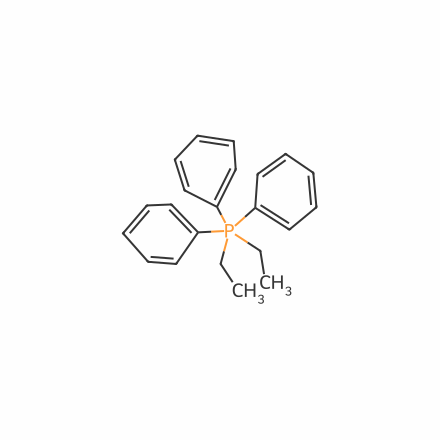 CCP(CC)(c1ccccc1)(c1ccccc1)c1ccccc1